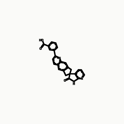 O=C(O)c1cccc(-c2ccc3cc4c(cc3n2)CC2(C4)C(=O)Nc3ncccc32)c1